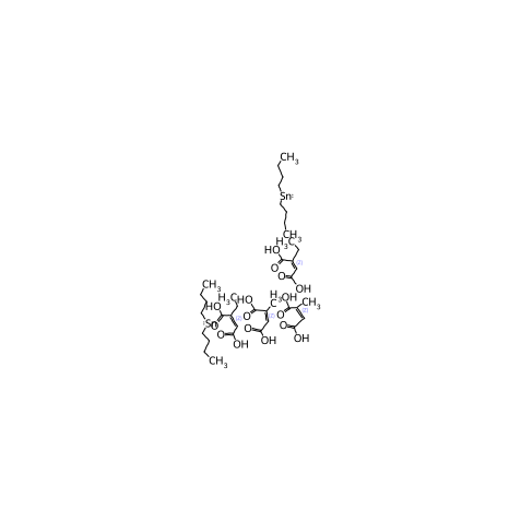 C/C(=C/C(=O)O)C(=O)O.C/C(=C/C(=O)O)C(=O)O.CC/C(=C/C(=O)O)C(=O)O.CC/C(=C/C(=O)O)C(=O)O.CCC[CH2][Sn][CH2]CCC.CCC[CH2][Sn][CH2]CCC